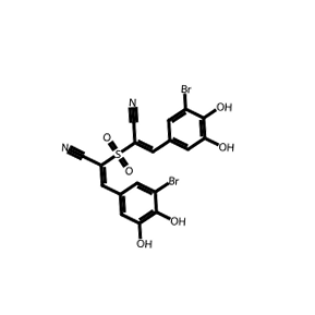 N#CC(=Cc1cc(O)c(O)c(Br)c1)S(=O)(=O)C(C#N)=Cc1cc(O)c(O)c(Br)c1